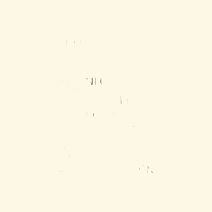 CC(C)Oc1ccc(C#N)cc1-c1cc(F)cc2cc(C(=O)NC(C)(C)CO)oc12